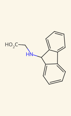 O=C(O)CNC1c2ccccc2-c2ccccc21